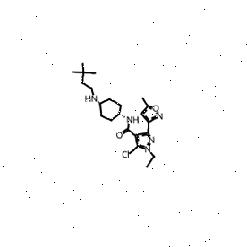 CCn1nc(-c2cc(C)on2)c(C(=O)N[C@H]2CC[C@@H](NCCC(C)(C)C)CC2)c1Cl